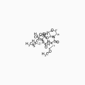 COCC[C@H](NC(=O)[C@H](CCSC)N(C(=O)O)C(C)(C)C)C(=O)N1CCOCC1